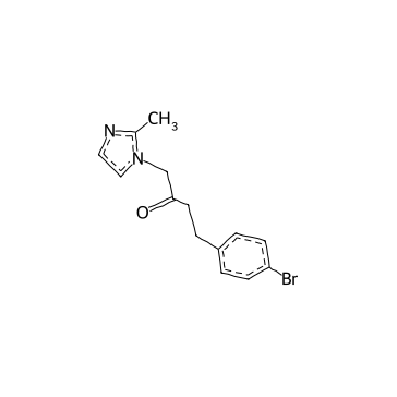 Cc1nccn1CC(=O)CCc1ccc(Br)cc1